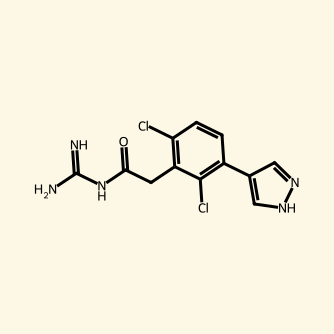 N=C(N)NC(=O)Cc1c(Cl)ccc(-c2cn[nH]c2)c1Cl